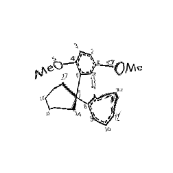 COc1ccc(OC)c(C2(c3ccccc3)CCCC2)c1